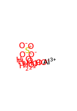 O.O.O.O.O.O=S(=O)([O-])[O-].[Al+3].[OH-]